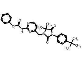 CC(C)(C)c1ccc(N2C(=O)N(Cc3ccnc(NC(=O)Oc4ccccc4)n3)C(C)(C)C2=O)cc1